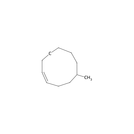 CC1CC/C=C\CCCCC1